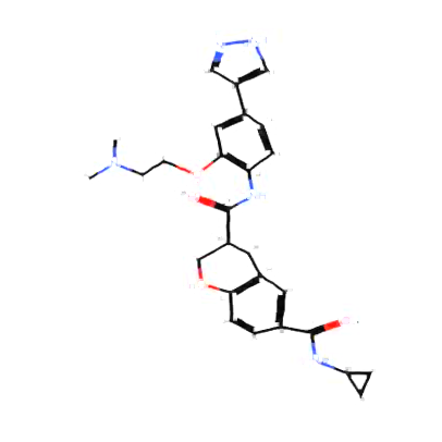 CN(C)CCOc1cc(-c2cn[nH]c2)ccc1NC(=O)C1COc2ccc(C(=O)NC3CC3)cc2C1